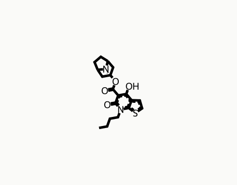 CCCCn1c(=O)c(C(=O)OC2CC3CCC(C2)N3C)c(O)c2ccsc21